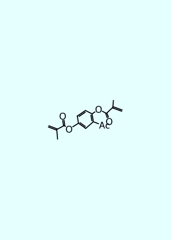 C=C(C)C(=O)Oc1ccc(OC(=O)C(=C)C)c(C(C)=O)c1